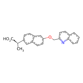 C[C@@H](C(=O)O)c1ccc2cc(OCc3ccc4ccccc4n3)ccc2c1